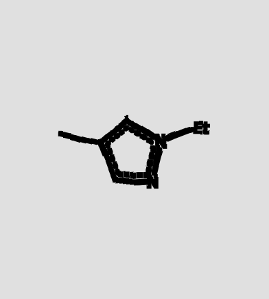 CCn1[c]c(C)cn1